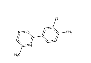 Bc1ccc(-c2cncc(C)n2)cc1Cl